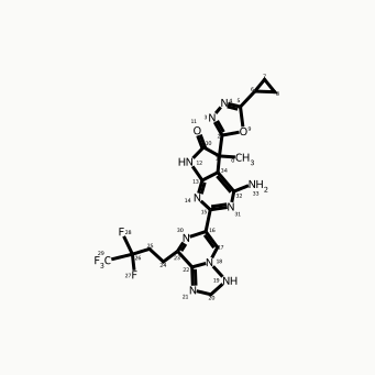 CC1(c2nnc(C3CC3)o2)C(=O)Nc2nc(C3=CN4NCN=C4C(CCC(F)(F)C(F)(F)F)=N3)nc(N)c21